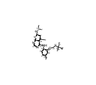 Cc1cc(N=S(C)C)cc2ncnc(Nc3ccc(F)cc3OCCC(F)(F)F)c12